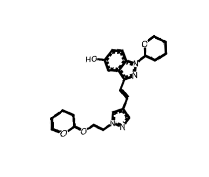 Oc1ccc2c(c1)c(C=Cc1cnn(CCOC3CCCCO3)c1)nn2C1CCCCO1